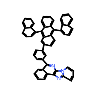 c1cc(-c2ccc3c(-c4cccc5ccccc45)c4ccccc4c(-c4cccc5ccccc45)c3c2)cc(-c2nc3c(nc4ccccn43)c3ccccc23)c1